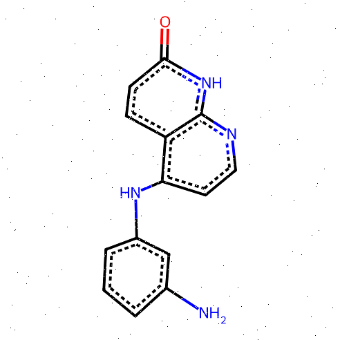 Nc1cccc(Nc2ccnc3[nH]c(=O)ccc23)c1